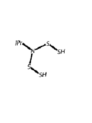 CC(C)N(SS)SS